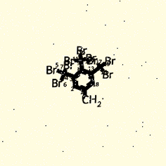 [CH2]c1cc(C(Br)(Br)Br)c(C(Br)(Br)Br)c(C(Br)(Br)Br)c1